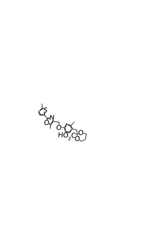 Cc1ccc(-c2nc(COc3ccc(CC4(C(=O)O)OCCCO4)c(C)c3)c(C)o2)s1